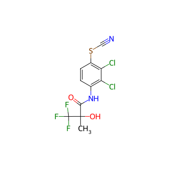 CC(O)(C(=O)Nc1ccc(SC#N)c(Cl)c1Cl)C(F)(F)F